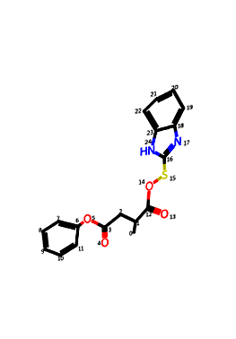 CC(CC(=O)Oc1ccccc1)C(=O)OSc1nc2ccccc2[nH]1